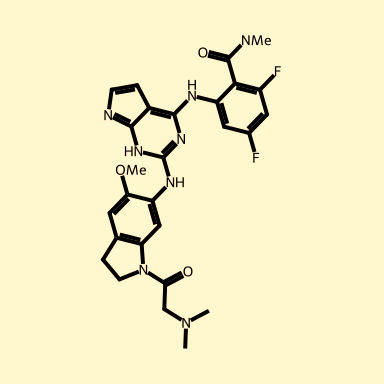 CNC(=O)c1c(F)cc(F)cc1Nc1nc(Nc2cc3c(cc2OC)CCN3C(=O)CN(C)C)[nH]c2nccc1-2